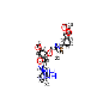 COc1cc(OCc2nc(-c3cccc(COC(C)=O)c3)sc2C)c2cc(-c3c[nH]c(/C=C\C(C)=N)n3)oc2c1